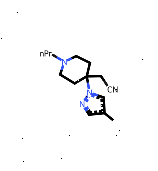 CCCN1CCC(CC#N)(n2cc(C)cn2)CC1